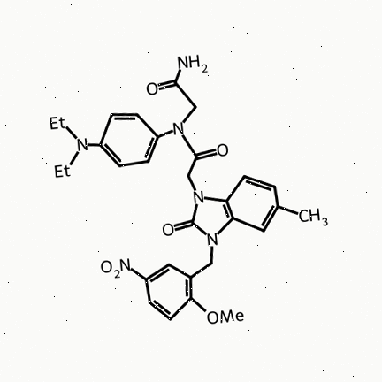 CCN(CC)c1ccc(N(CC(N)=O)C(=O)Cn2c(=O)n(Cc3cc([N+](=O)[O-])ccc3OC)c3cc(C)ccc32)cc1